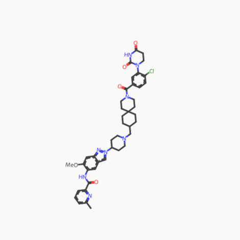 COc1cc2nn(C3CCN(CC4CCC5(CC4)CCN(C(=O)c4ccc(Cl)c(N6CCC(=O)NC6=O)c4)CC5)CC3)cc2cc1NC(=O)c1cccc(C)n1